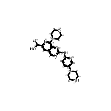 CCC(O)c1cc2cnc(Nc3ccc(N4CCNCC4)cn3)nc2c(N2CCOCC2)n1